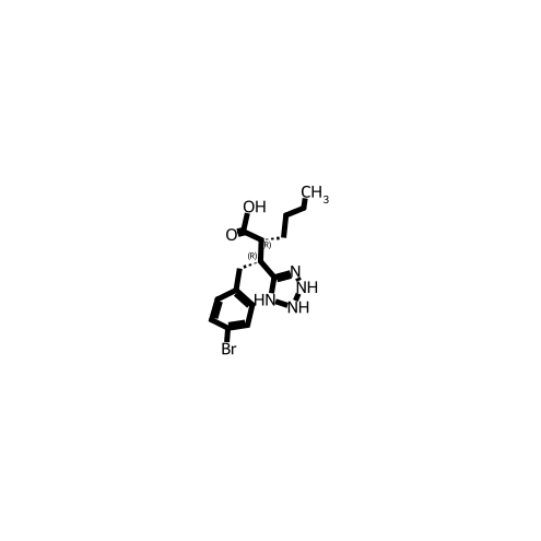 CCCC[C@@H](C(=O)O)[C@@H](Cc1ccc(Br)cc1)C1=NNNN1